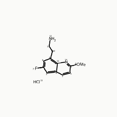 COc1ccc2cc(F)cc(CCN)c2n1.Cl